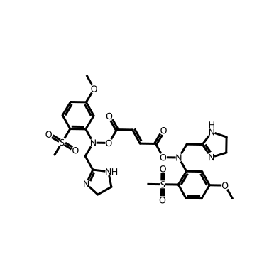 COc1ccc(S(C)(=O)=O)c(N(CC2=NCCN2)OC(=O)/C=C/C(=O)ON(CC2=NCCN2)c2cc(OC)ccc2S(C)(=O)=O)c1